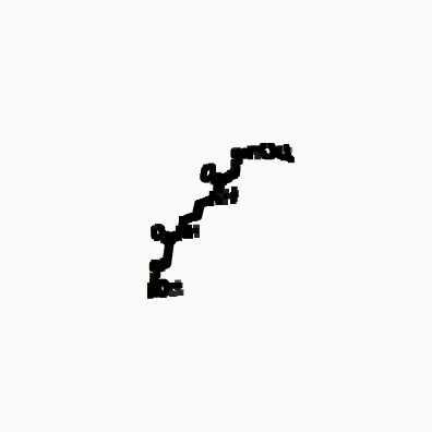 CCCCCCCCSCC(=O)NCCCNC(=O)CSCCCCCCCC